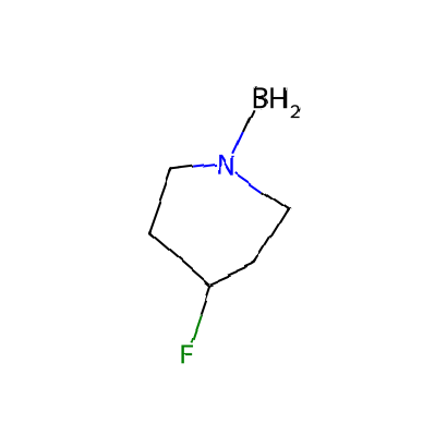 BN1CCC(F)CC1